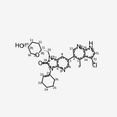 Cc1c(-c2cnc3c(c2)n(C[C@H]2CC[C@@H](O)CO2)c(=O)n3C2=CCCCC2)cnc2[nH]cc(Cl)c12